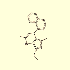 CCn1nc(C)c2c1NC(C)=CC2c1cccc2ccccc12